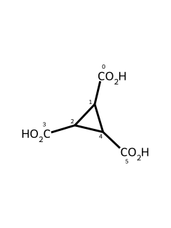 O=C(O)C1C(C(=O)O)C1C(=O)O